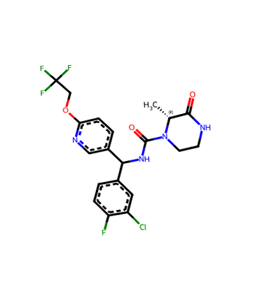 C[C@@H]1C(=O)NCCN1C(=O)NC(c1ccc(OCC(F)(F)F)nc1)c1ccc(F)c(Cl)c1